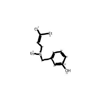 CC/C(Cl)=C\CN(CC)Cc1cccc(O)c1